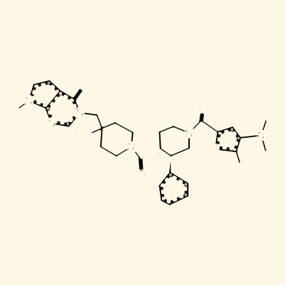 CN(C)c1cc(C(=O)N2CC[C@@H](C(=O)N3CCC(O)(Cn4cnc5c(ccn5C)c4=O)CC3)[C@H](c3ccccc3)C2)sc1Cl